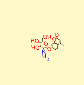 Cc1cc(=O)oc2cc(OC3OC(CO)C(O)C(O)C3N)ccc12